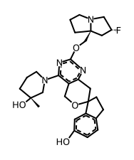 C[C@@]1(O)CCCN(c2nc(OC[C@@]34CCCN3C[C@H](F)C4)nc3c2COC2(CCc4ccc(O)cc42)C3)C1